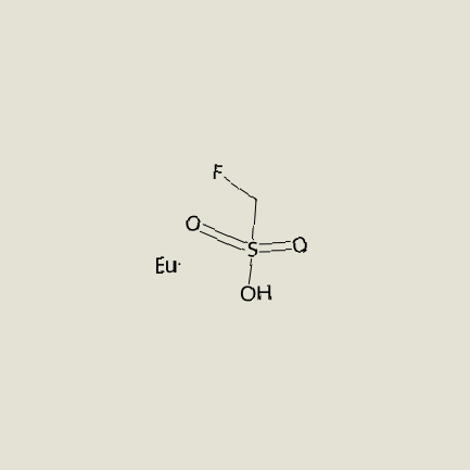 O=S(=O)(O)CF.[Eu]